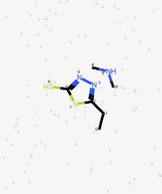 CCc1nnc(S)s1.CNC